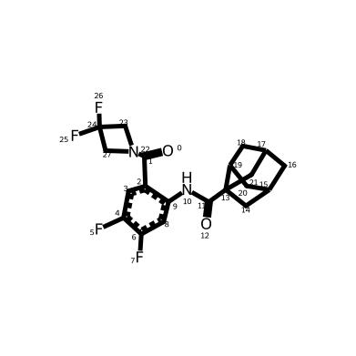 O=C(c1cc(F)c(F)cc1NC(=O)C12CC3CC(CC1C3)C2)N1CC(F)(F)C1